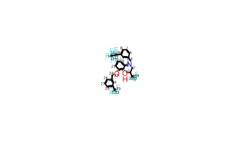 OC(CN(Cc1cccc(C(F)(F)C(F)(F)F)c1)c1cccc(OCc2cccc(C(F)(F)F)c2)c1)C(F)(F)F